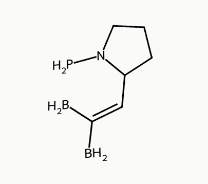 BC(B)=CC1CCCN1P